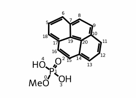 COP(=O)(O)O.c1cc2ccc3cccc4ccc(c1)c2c34